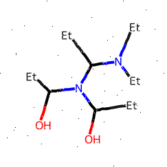 CCC(O)N(C(O)CC)C(CC)N(CC)CC